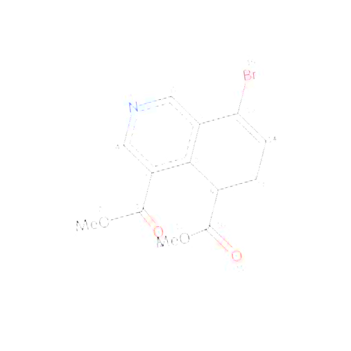 COC(=O)c1cncc2c1C(C(=O)OC)CC=C2Br